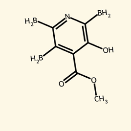 Bc1nc(B)c(O)c(C(=O)OC)c1B